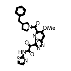 COc1cc2nnc(C(=O)C(=O)Nc3nccs3)n2nc1C(=O)N1CCC(Cc2ccccc2)C1